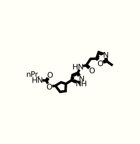 CCCNC(=O)OC1CCC(c2cc(NC(=O)Cc3cnc(C)o3)n[nH]2)C1